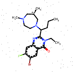 CCCC(c1nc2cc(F)c(Br)cc2c(=O)n1CC)N1CCN(C)C[C@@H](C)C1